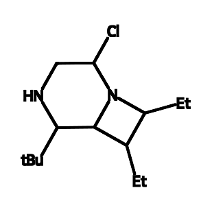 CCC1C(CC)N2C(Cl)CNC(C(C)(C)C)C12